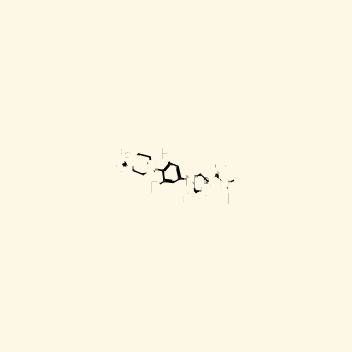 CNC(=O)[C@H]1CN(c2cc(F)c(N3CCS(=O)(=O)CC3)c(F)c2)C(=O)O1